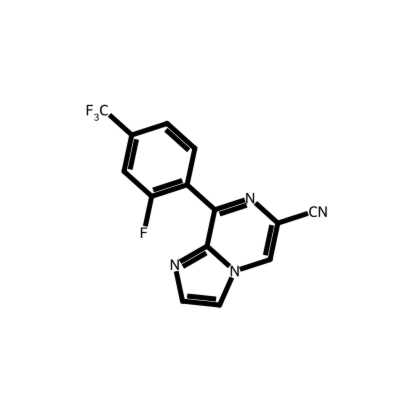 N#Cc1cn2ccnc2c(-c2ccc(C(F)(F)F)cc2F)n1